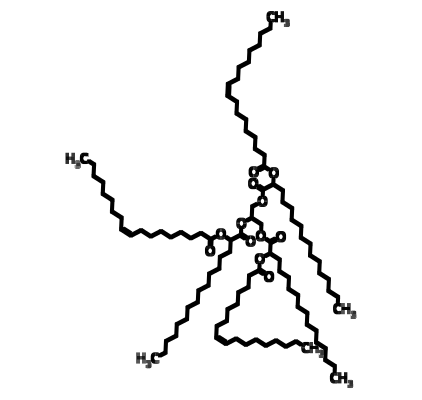 CCCCCCCC/C=C\CCCCCCCC(=O)OC(CCCCCCCCCCCCCC)C(=O)OCC(COC(=O)C(CCCCCCCCCCCCCC)OC(=O)CCCCCCC/C=C\CCCCCCCC)OC(=O)C(CCCCCCCCCCCCCC)OC(=O)CCCCCCC/C=C\CCCCCCCC